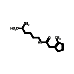 CC1=C(CC(=O)NCCCC[C@H](N)C(=O)O)CC=C1